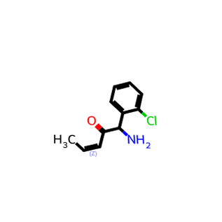 C/C=C\C(=O)C(N)c1ccccc1Cl